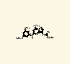 CNC(=O)Nc1cnn2c(NC)cc(Nc3cc(OC)cc(OC)c3)nc12